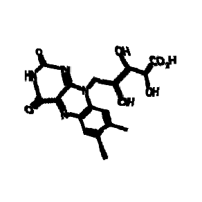 Cc1cc2nc3c(=O)[nH]c(=O)nc-3n(CC(O)C(O)C(O)C(=O)O)c2cc1C